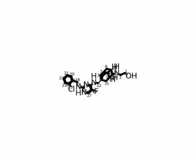 OCCN[C@@H]1[C@@H]2CC3C[C@H]1C[C@@](CNc1nc(NCc4ccccc4Cl)ncc1F)(C3)C2